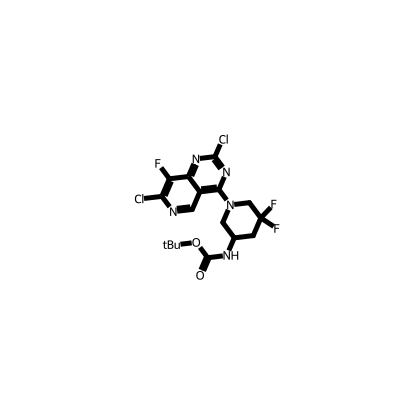 CC(C)(C)OC(=O)NC1CN(c2nc(Cl)nc3c(F)c(Cl)ncc23)CC(F)(F)C1